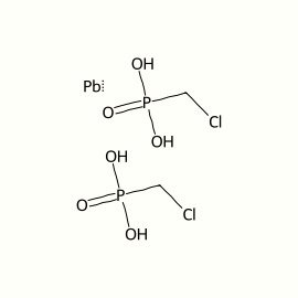 O=P(O)(O)CCl.O=P(O)(O)CCl.[Pb]